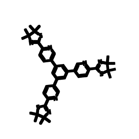 CC1(C)N=C(c2ccc(-c3cc(-c4ccc(C5=NC(C)(C)C(C)(C)S5)nc4)cc(-c4ccc(C5=NC(C)(C)C(C)(C)S5)nc4)c3)cn2)SC1(C)C